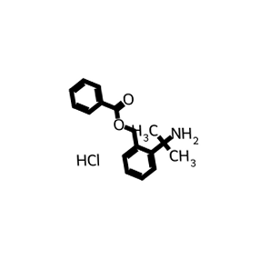 CC(C)(N)c1ccccc1COC(=O)c1ccccc1.Cl